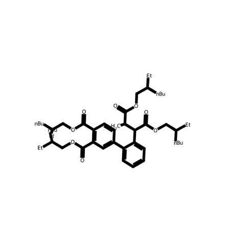 CCCCC(CC)COC(=O)c1ccc(-c2ccccc2C(C(=O)OCC(CC)CCCC)C(C)C(=O)OCC(CC)CCCC)cc1C(=O)OCC(CC)CCCC